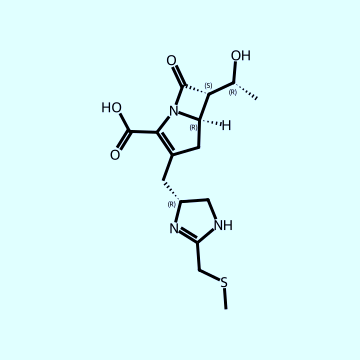 CSCC1=N[C@H](CC2=C(C(=O)O)N3C(=O)[C@H]([C@@H](C)O)[C@H]3C2)CN1